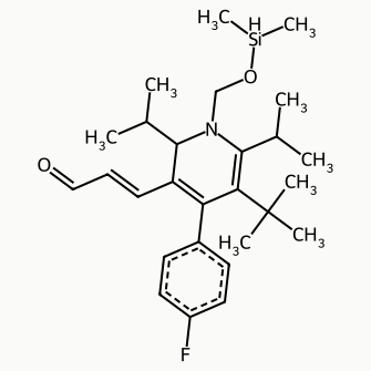 CC(C)C1=C(C(C)(C)C)C(c2ccc(F)cc2)=C(C=CC=O)C(C(C)C)N1CO[SiH](C)C